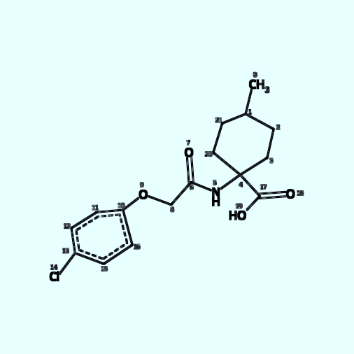 CC1CCC(NC(=O)COc2ccc(Cl)cc2)(C(=O)O)CC1